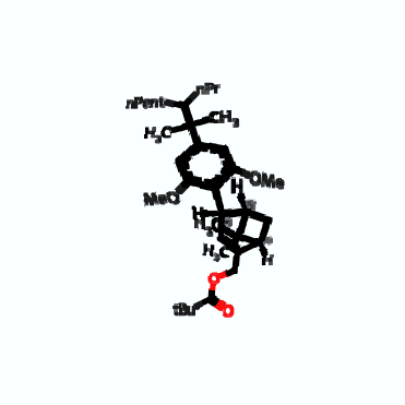 CCCCCC(CCC)C(C)(C)c1cc(OC)c([C@H]2C=C(COC(=O)C(C)(C)C)[C@H]3C[C@@H]2C3(C)C)c(OC)c1